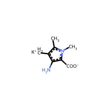 Cc1c(N)c(C(=O)[O-])n(C)c1C.[K+]